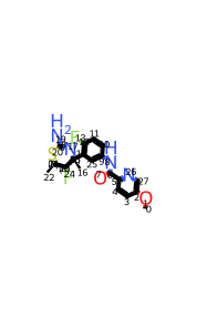 COc1ccc(C(=O)Nc2ccc(F)c([C@@]3(C)N=C(N)S[C@H](C)[C@@H]3F)c2)nc1